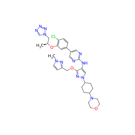 C[C@@H](Cn1cnnn1)Oc1cc(-c2cnc(Nc3cn(C4CCC(N5CCOCC5)CC4)nc3OCc3ccn(C)n3)nc2)ccc1Cl